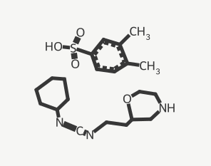 C(=NCCC1CNCCO1)=NC1CCCCC1.Cc1ccc(S(=O)(=O)O)cc1C